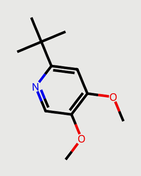 COc1cnc(C(C)(C)C)cc1OC